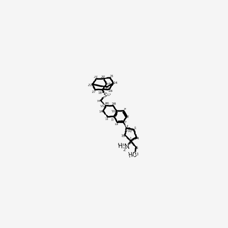 N[C@]1(CO)CC[C@H](c2ccc3c(c2)CC[C@@H](CSC24CC5CC(CC(C5)C2)C4)C3)C1